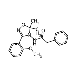 COc1ccccc1C1=NOC(C)(C)N1NC(=O)Cc1ccccc1